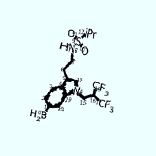 Bc1ccc2c(CCNS(=O)(=O)C(C)C)cn(CC(C(F)(F)F)C(F)(F)F)c2c1